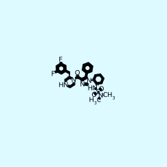 CN(C)S(=O)(=O)N[C@H]1CCCC[C@@H]1n1cnc(C(=O)N2CCNC[C@H]2Cc2cc(F)cc(F)c2)c1-c1ccccc1